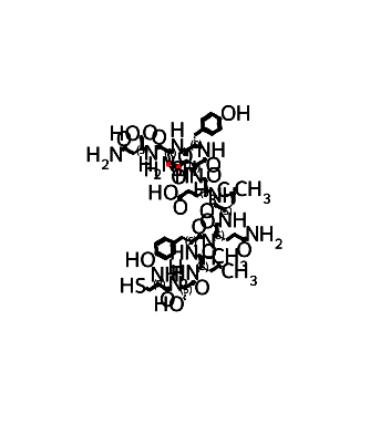 CC(C)C[C@H](NC(=O)[C@H](CCC(N)=O)NC(=O)[C@H](Cc1ccc(O)cc1)NC(=O)[C@H](CC(C)C)NC(=O)[C@H](CO)NC(=O)[C@@H](N)CS)C(=O)N[C@@H](CCC(=O)O)C(=O)N[C@@H](CC(N)=O)C(=O)N[C@@H](Cc1ccc(O)cc1)C(=O)N[C@@H](CS)C(=O)N[C@@H](CC(N)=O)C(=O)O